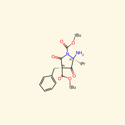 CC(C)[C@]1(N)C(=O)[C@@](Cc2ccccc2)(C(=O)OC(C)(C)C)C(=O)N1C(=O)OC(C)(C)C